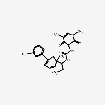 CC1=CN(C)C(=O)C(NC(=O)NC(CC(=O)O)C2(C)C=CC=C(c3cccc(C)c3)C2)C1=O